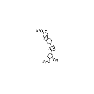 CCOC(=O)Cn1ncc2cc(-c3noc(-c4ccc(OC(C)C)c(C#N)c4)n3)ccc21